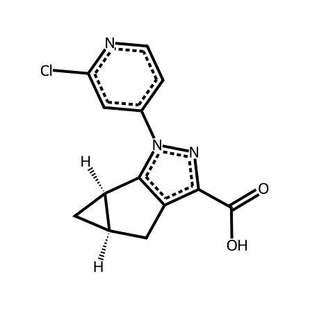 O=C(O)c1nn(-c2ccnc(Cl)c2)c2c1C[C@H]1C[C@@H]21